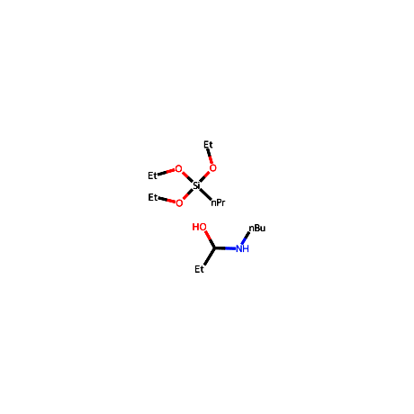 CCCCNC(O)CC.CCC[Si](OCC)(OCC)OCC